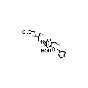 O=C(CN1C2C(O)[C@@H]3OC(c4ccccc4)OCC3O[C@@H]21)OCC(Cl)(Cl)Cl